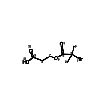 CC(C)(Br)C(=O)OCCC(=O)O